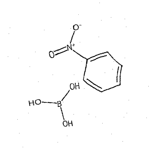 O=[N+]([O-])c1ccccc1.OB(O)O